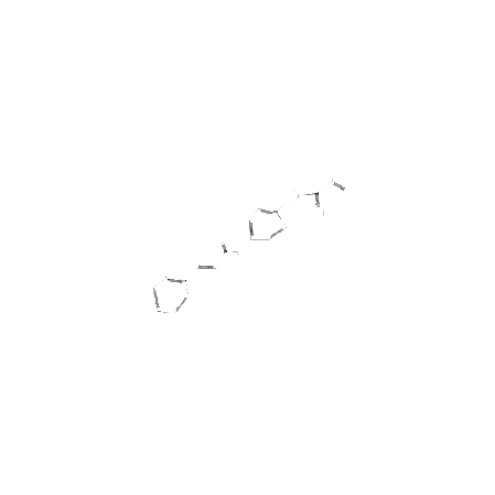 C=CC(=O)Oc1ccc(OC(=O)C=Cc2ccccc2)cc1